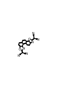 N#CC(C#N)=c1nc2c(ccc3ccc4c(ccc5nc(=C(C#N)C#N)oc54)c32)o1